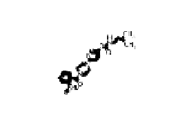 CC(C)CCNC(=O)Oc1ccc(N2CCN(C(=O)c3ccccc3[N+](=O)[O-])CC2)nn1